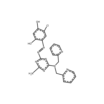 Nc1nc(/N=N/c2cc(Cl)c(O)cc2O)nc(N(Cc2ccccn2)Cc2ccccn2)n1